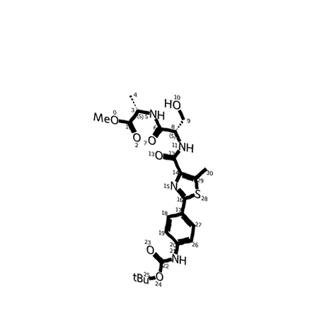 COC(=O)[C@H](C)NC(=O)[C@H](CO)NC(=O)c1nc(-c2ccc(NC(=O)OC(C)(C)C)cc2)sc1C